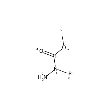 CC(C)N(N)C(=O)OI